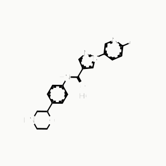 Cl.O=C(Nc1ccc(C2CNCCO2)cc1)c1cnn(-c2ccc(C(F)(F)F)nc2)c1